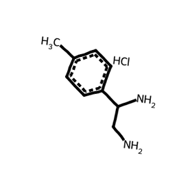 Cc1ccc(C(N)CN)cc1.Cl